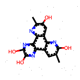 Cc1cc2c(nc1O)c1cc(O)c(C)nc1c1nc(O)c(O)nc21